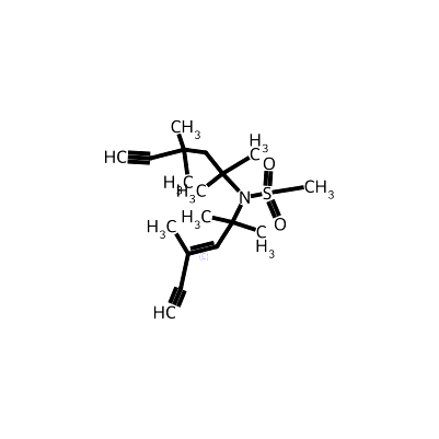 C#C/C(C)=C/C(C)(C)N(C(C)(C)CC(C)(C)C#C)S(C)(=O)=O